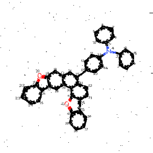 c1ccc(N(c2ccccc2)c2ccc(-c3cc4cc5oc6ccccc6c5cc4c4c3ccc3c5ccccc5oc34)cc2)cc1